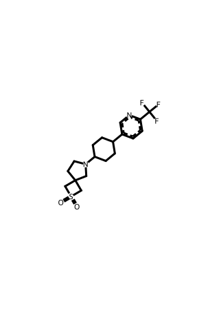 O=S1(=O)CC2(CCN(C3CCC(c4ccc(C(F)(F)F)nc4)CC3)C2)C1